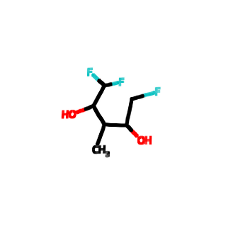 CC(C(O)CF)C(O)C(F)F